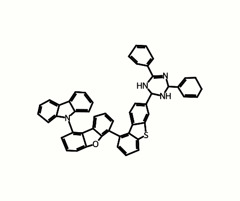 C1=CC(C2N=C(c3ccccc3)NC(c3ccc4c(c3)sc3cccc(-c5cccc6c5oc5cccc(-n7c8ccccc8c8ccccc87)c56)c34)N2)=CCC1